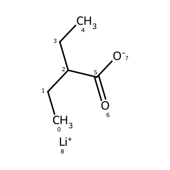 CCC(CC)C(=O)[O-].[Li+]